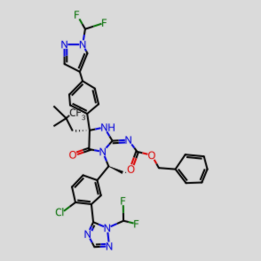 [CH2][C@@H](c1ccc(Cl)c(-c2ncnn2C(F)F)c1)N1C(=O)[C@@](CC(C)(C)C(F)(F)F)(c2ccc(-c3cnn(C(F)F)c3)cc2)N/C1=N/C(=O)OCc1ccccc1